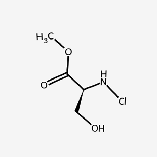 COC(=O)[C@H](CO)NCl